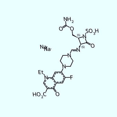 CCn1cc(C(=O)O)c(=O)c2cc(F)c(N3CCN(C=N[C@@H]4C(=O)N(S(=O)(=O)O)[C@@H]4COC(N)=O)CC3)cc21.[Na].[Na]